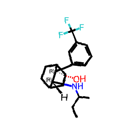 CCC(C)N[C@@H]1C2CCC(CC2)[C@@]1(O)c1cccc(C(F)(F)F)c1